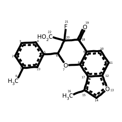 Cc1cccc(C2Oc3c(ccc4occ(C)c34)C(=O)C2(F)C(=O)O)c1